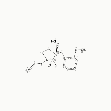 C=CCN1CC[C@@H]2Cc3c(cccc3OC)C[C@H]21.Cl